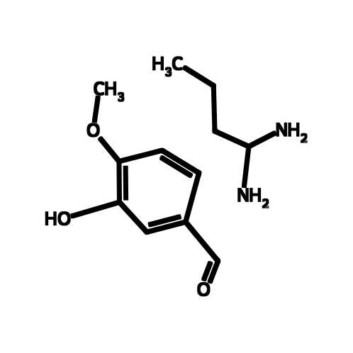 CCCC(N)N.COc1ccc(C=O)cc1O